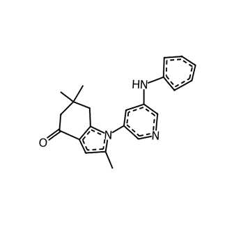 Cc1cc2c(n1-c1cncc(Nc3ccccc3)c1)CC(C)(C)CC2=O